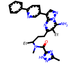 CCc1c(CCC(CC)N(C)C(=O)c2nc(C)n[nH]2)nc2c(-c3ccc(-c4ccccc4)nc3)cnn2c1N